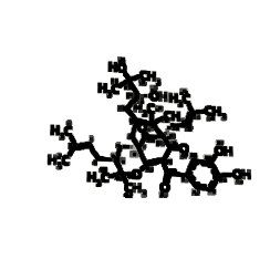 CC(C)=CC[C@H]1C[C@@]23C[C@@H](C[C@@H](O)C(C)(C)O)C(C)(C)[C@@](CC=C(C)C)(C(=O)C(C(=O)c4ccc(O)c(O)c4)=C2OC1(C)C)C3=O